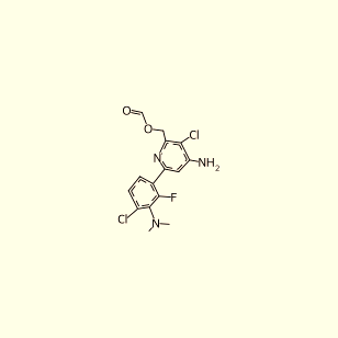 CN(C)c1c(Cl)ccc(-c2cc(N)c(Cl)c(COC=O)n2)c1F